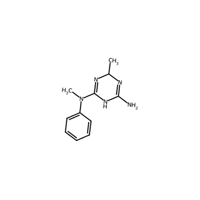 CC1N=C(N)NC(N(C)c2ccccc2)=N1